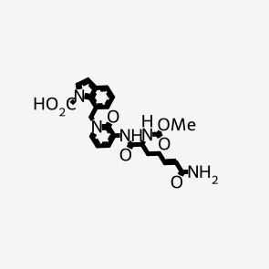 COC(=O)NC(CCC=CC(N)=O)C(=O)Nc1cccn(Cc2cccc3ccn(C(=O)O)c23)c1=O